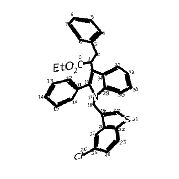 CCOC(=O)C(Cc1ccccc1)c1c(-c2ccccc2)n(Cc2csc3ccc(Cl)cc23)c2ccccc12